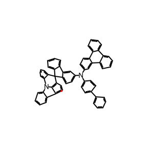 c1ccc(-c2ccc(N(c3ccc4c(c3)-c3ccccc3C43c4ccccc4-n4c5ccccc5c5cccc3c54)c3ccc4c5ccccc5c5ccccc5c4c3)cc2)cc1